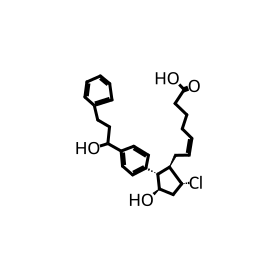 O=C(O)CCC/C=C\C[C@@H]1[C@@H](c2ccc(C(O)CCc3ccccc3)cc2)[C@H](O)C[C@H]1Cl